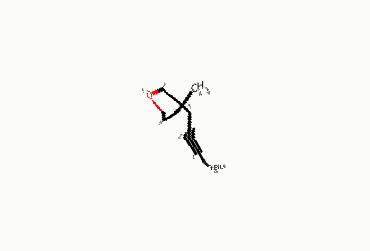 CC(C)(C)C#CC1(C)COC1